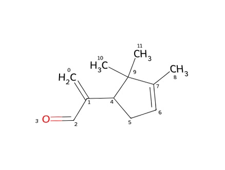 C=C(C=O)C1CC=C(C)C1(C)C